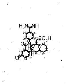 N=C(N)c1ccc(NC(=O)c2cc(Cl)ccc2NCC2CCCCN2C(=O)CC(=O)O)cc1